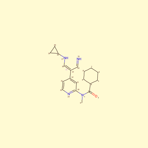 CN(C(=O)C1CCCCC1)c1cc(/C(C=N)=C/NC2CC2)ccn1